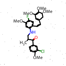 COC1=C(OC)[C@H](OC)CC(/C=C\c2cc(F)c(OC)cc2NCC(C)C(=O)c2ccc(OC)c(Cl)c2)=C1